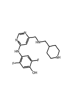 Oc1cc(F)c(Nc2cc(CNCC3CCNCC3)ncn2)cc1F